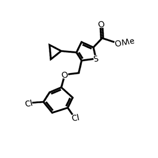 COC(=O)c1cc(C2CC2)c(COc2cc(Cl)cc(Cl)c2)s1